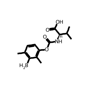 Bc1c(C)ccc(OC(=O)N[C@@H](C(=O)O)C(C)C)c1C